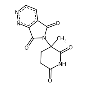 CC1(N2C(=O)c3ccnnc3C2=O)CCC(=O)NC1=O